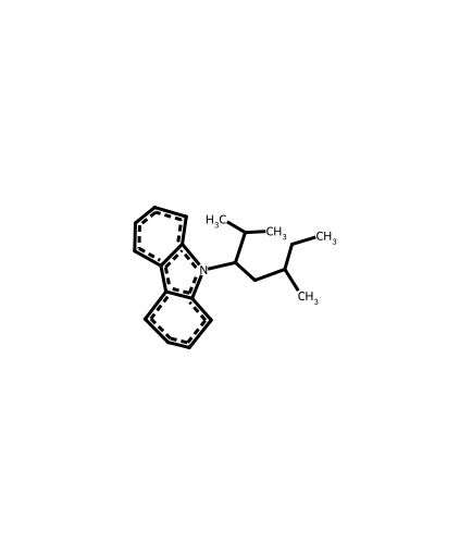 CCC(C)CC(C(C)C)n1c2ccccc2c2ccccc21